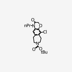 CCCN1C(=O)COc2c1cc1c(c2Cl)CCN(C(=O)OC(C)(C)C)CC1